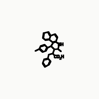 Cc1ccc(C2c3c(ccc4ccccc34)NC(C)C2C(Cc2ccccc2)C(=O)O)cc1